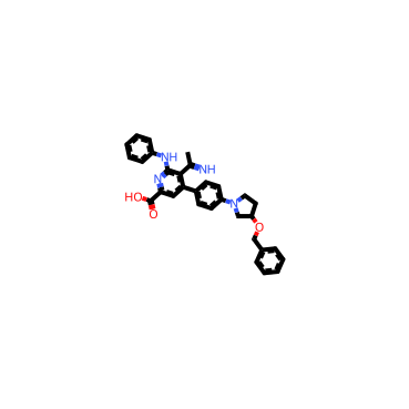 CC(=N)c1c(-c2ccc(N3CCC(OCc4ccccc4)C3)cc2)cc(C(=O)O)nc1Nc1ccccc1